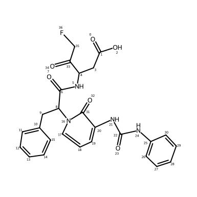 O=C(O)CC(NC(=O)C(Cc1ccccc1)n1cccc(NC(=O)Nc2ccccc2)c1=O)C(=O)CF